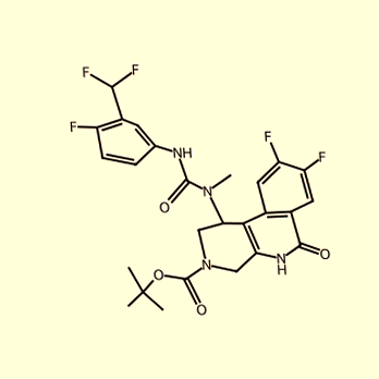 CN(C(=O)Nc1ccc(F)c(C(F)F)c1)C1CN(C(=O)OC(C)(C)C)Cc2[nH]c(=O)c3cc(F)c(F)cc3c21